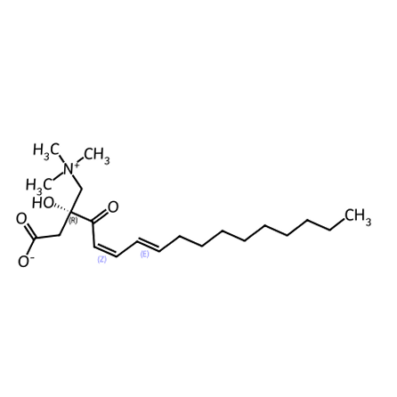 CCCCCCCCC/C=C/C=C\C(=O)[C@@](O)(CC(=O)[O-])C[N+](C)(C)C